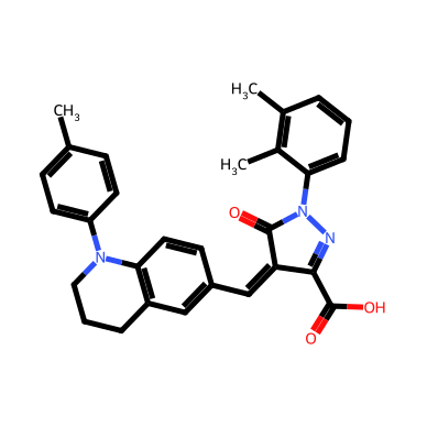 Cc1ccc(N2CCCc3cc(/C=C4\C(=O)N(c5cccc(C)c5C)N=C4C(=O)O)ccc32)cc1